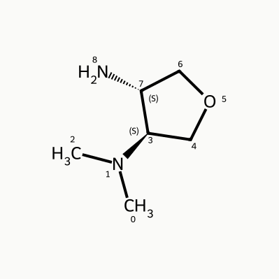 CN(C)[C@@H]1COC[C@H]1N